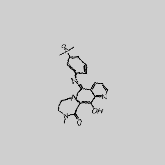 CN1CCn2c(c(O)c3ncccc3/c2=N\c2cccc(P(C)(C)=O)c2)C1=O